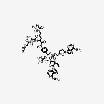 C=C[C@@H]1[C@H](OP(=O)(OC[C@@H]2CC[C@H](n3cnc4c(N)ncnc43)O2)SCc2ccc(NC(=O)C(CCCNC(N)=O)NC(=O)[C@@H](NC(=O)CN=[N+]=[N-])C(C)C)cc2)[C@@H](COP(=O)(O)S)O[C@H]1n1cnc2c(N)ncnc21